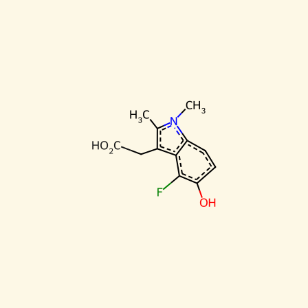 Cc1c(CC(=O)O)c2c(F)c(O)ccc2n1C